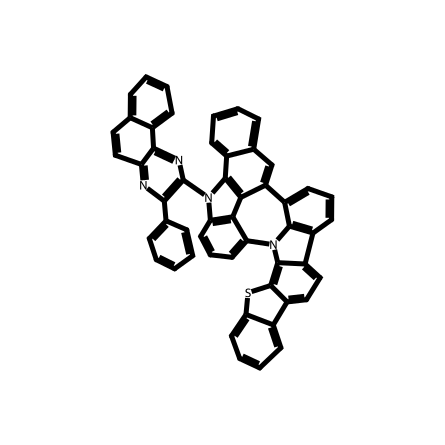 c1ccc(-c2nc3ccc4ccccc4c3nc2-n2c3cccc4c3c3c(cc5ccccc5c32)c2cccc3c5ccc6c7ccccc7sc6c5n4c23)cc1